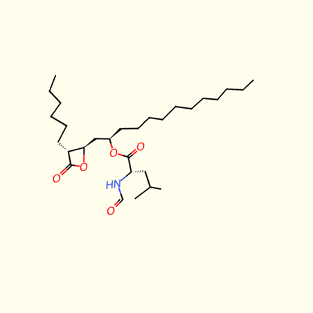 CCCCCCCCCCC[C@H](C[C@H]1OC(=O)[C@@H]1CCCCCC)OC(=O)[C@H](CC(C)C)NC=O